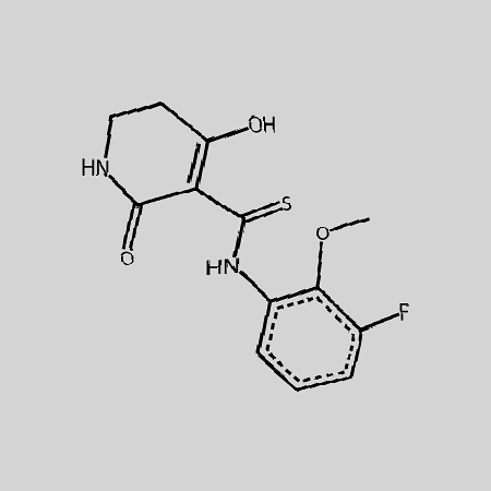 COc1c(F)cccc1NC(=S)C1=C(O)CCNC1=O